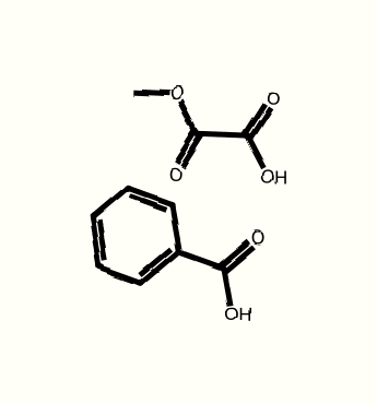 COC(=O)C(=O)O.O=C(O)c1ccccc1